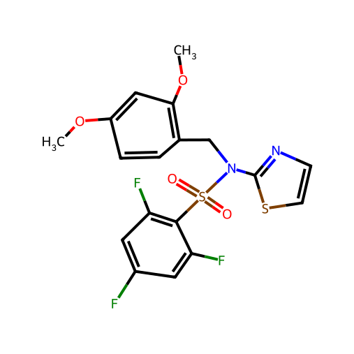 COc1ccc(CN(c2nccs2)S(=O)(=O)c2c(F)cc(F)cc2F)c(OC)c1